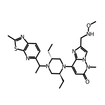 CC[C@H]1CN(C(C)c2ccc3nc(C)sc3n2)[C@H](CC)CN1c1cc(=O)n(C)n2cc(CNOC)nc12